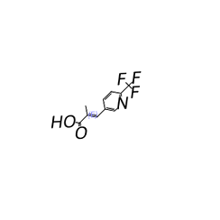 C/C(=C\c1ccc(C(F)(F)F)nc1)C(=O)O